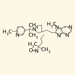 Cc1ccc(C(C)(C)N2CC[C@@](CCCC(C)(C)N=O)(CCc3nc4ncncc4n3C)C2)cn1